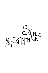 CCS(=O)(=O)c1ccc(CNc2nc3cnc(Cl)nc3n([C@@H](C)C3CCC3)c2=O)nc1